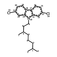 CC(C)CCCC(C)CCn1c2cc(Cl)ccc2c2ccc(Cl)cc21